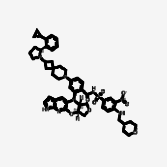 O=C(NS(=O)(=O)c1ccc(NCC2CCOCC2)c([N+](=O)[O-])c1)c1ccc(N2CCC3(CC2)CC(N2CCC[C@H]2c2ccccc2C2CC2)C3)cc1N1c2cc3cc[nH]c3nc2O[C@@H]2COC[C@H]21